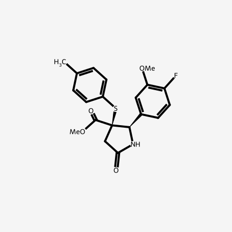 COC(=O)[C@@]1(Sc2ccc(C)cc2)CC(=O)N[C@@H]1c1ccc(F)c(OC)c1